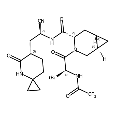 CC(C)(C)[C@H](NC(=O)C(F)(F)F)C(=O)N1C[C@@H]2C[C@@H]2C[C@H]1C(=O)N[C@H](C#N)C[C@@H]1CCC2(CC2)NC1=O